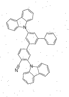 N#Cc1ccc(-c2cc(-c3ccccc3)cc(-n3c4ccccc4c4ccccc43)c2)cc1-n1c2ccccc2c2ccccc21